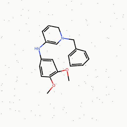 COc1ccc(NC2=CN(Cc3ccccc3)CC=C2)cc1OC